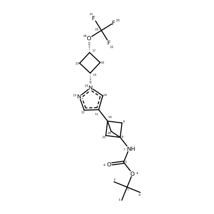 CC(C)(C)OC(=O)NC12CC(c3cnn([C@H]4C[C@@H](OC(F)(F)F)C4)c3)(C1)C2